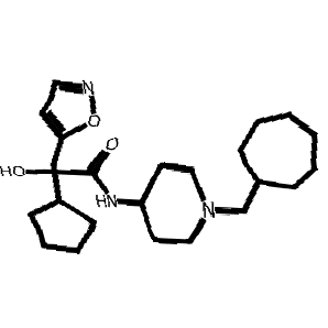 O=C(NC1CCN(CC2CCCCCC2)CC1)C(O)(c1ccno1)C1CCCC1